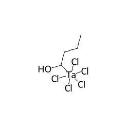 CCC[CH](O)[Ta]([Cl])([Cl])([Cl])([Cl])[Cl]